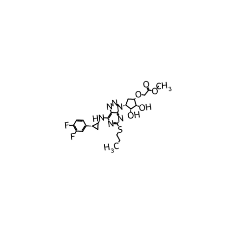 CCCSc1nc(NC2C[C@H]2c2ccc(F)c(F)c2)c2nnn([C@@H]3C[C@H](OCC(=O)OC)[C@@H](O)[C@H]3O)c2n1